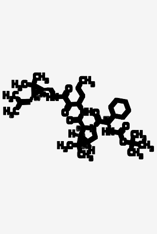 CCCC(NC(=O)[C@@H]1[C@H]2[C@@H](CN1C(=O)[C@@H](NC(=O)OC(C)(C)C)C1CCCCC1)C2(C)C)C(=O)C(=O)NC[C@@H]1[C@H](C=C(C)C)C1(C)C